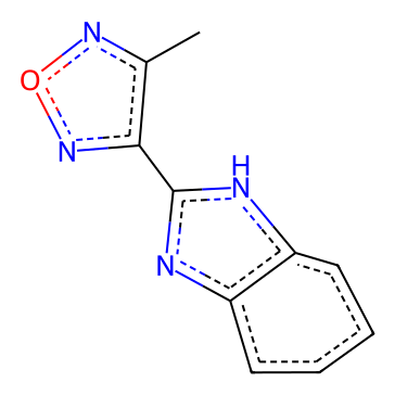 Cc1nonc1-c1nc2ccccc2[nH]1